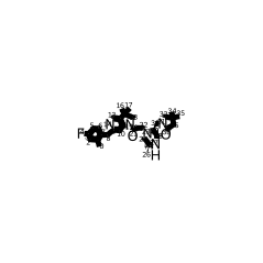 Cc1cc(F)ccc1Cc1cc2c(cn1)C(C)(C)CN2C(=O)CN1C[C@@H](C)NC[C@@H]1CN1CC(C)(C)CC1=O